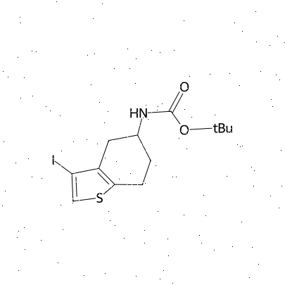 CC(C)(C)OC(=O)NC1CCc2scc(I)c2C1